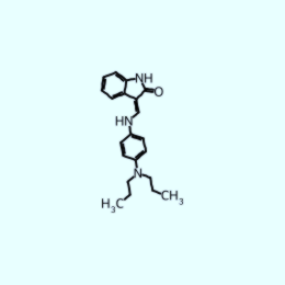 CCCN(CCC)c1ccc(N/C=C2/C(=O)Nc3ccccc32)cc1